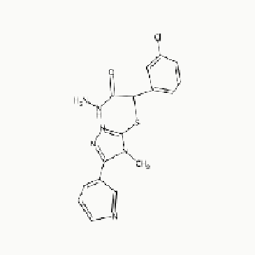 Cn1c(SC(C(=O)NN)c2cccc(Cl)c2)nnc1-c1cccnc1